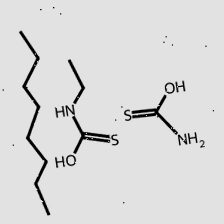 CCCCCCCC.CCNC(O)=S.NC(O)=S